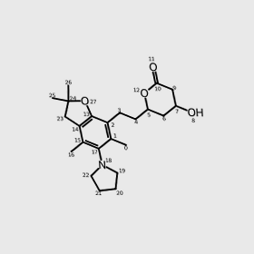 Cc1c(CCC2CC(O)CC(=O)O2)c2c(c(C)c1N1CCCC1)CC(C)(C)O2